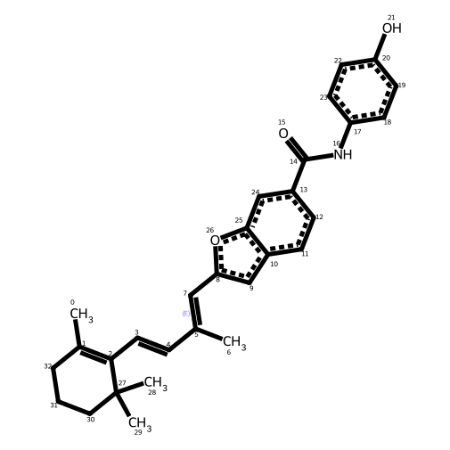 CC1=C(C=C/C(C)=C/c2cc3ccc(C(=O)Nc4ccc(O)cc4)cc3o2)C(C)(C)CCC1